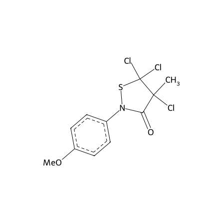 COc1ccc(N2SC(Cl)(Cl)C(C)(Cl)C2=O)cc1